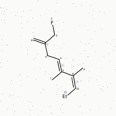 C=C(CF)C/C=C(C)/C(C)=C\CC